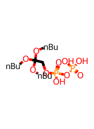 CCCCOC(COP(=O)(O)OP(=O)(O)O)(OCCCC)OCCCC